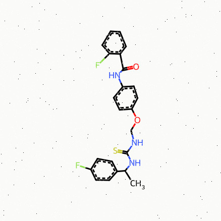 CC(NC(=S)NCOc1ccc(NC(=O)c2ccccc2F)cc1)c1ccc(F)cc1